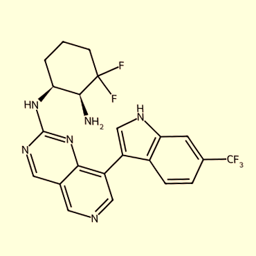 N[C@H]1[C@@H](Nc2ncc3cncc(-c4c[nH]c5cc(C(F)(F)F)ccc45)c3n2)CCCC1(F)F